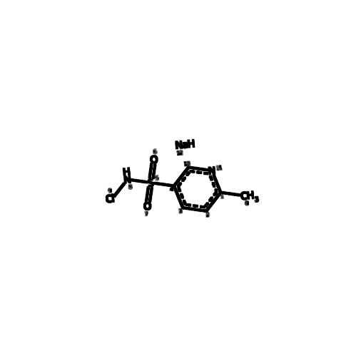 Cc1ccc(S(=O)(=O)NCl)cn1.[NaH]